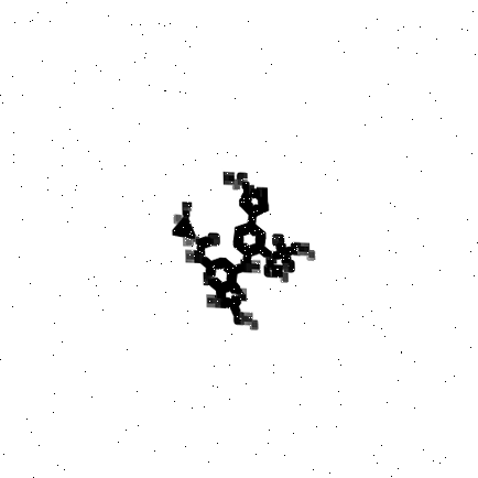 Cc1nc2c(Nc3ccc(-c4cnn(C)c4)cc3N(C)S(C)(=O)=O)cc(NC(=O)[C@@H]3C[C@@H]3F)nc2[nH]1